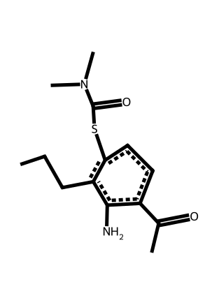 CCCc1c(SC(=O)N(C)C)ccc(C(C)=O)c1N